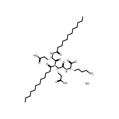 CCCCCCCCCCCC(=O)N[C@@H](CCC(=O)O)C(=O)N(C(=O)CCCCCCCCCCC)[C@@H](CCC(=O)O)C(=O)N[C@@H](CCCCN)C(=O)[O-].[Na+]